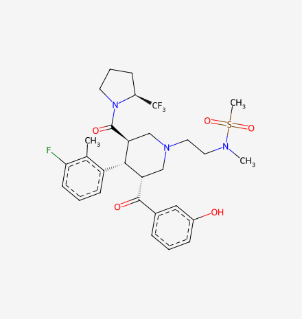 Cc1c(F)cccc1[C@H]1[C@@H](C(=O)c2cccc(O)c2)CN(CCN(C)S(C)(=O)=O)C[C@@H]1C(=O)N1CCC[C@H]1C(F)(F)F